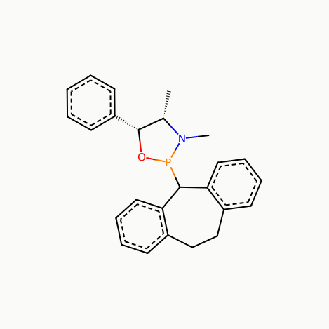 C[C@H]1[C@@H](c2ccccc2)OP(C2c3ccccc3CCc3ccccc32)N1C